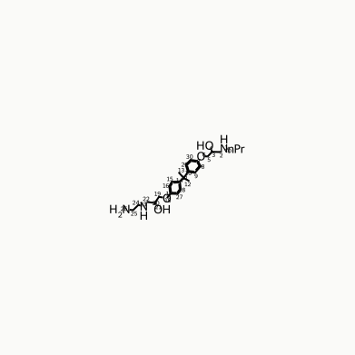 CCCNCC(O)COc1ccc(C(C)(C)c2ccc(OCC(O)CNCCN)cc2)cc1